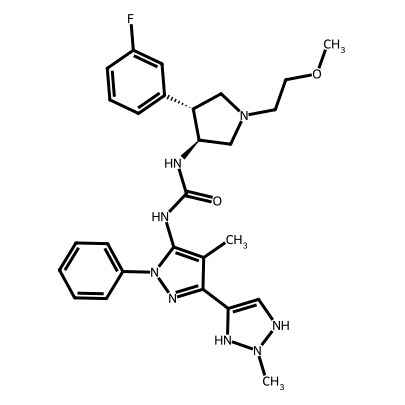 COCCN1C[C@@H](NC(=O)Nc2c(C)c(C3=CNN(C)N3)nn2-c2ccccc2)[C@H](c2cccc(F)c2)C1